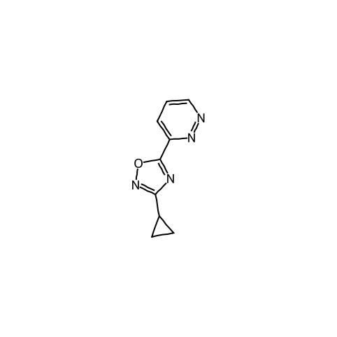 c1cnnc(-c2nc(C3CC3)no2)c1